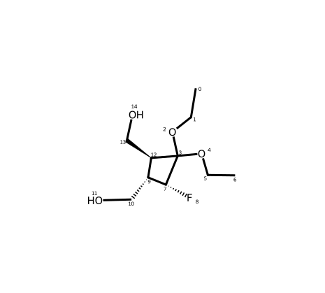 CCOC1(OCC)[C@H](F)[C@H](CO)[C@H]1CO